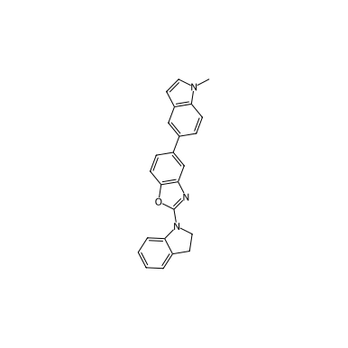 Cn1ccc2cc(-c3ccc4oc(N5CCc6ccccc65)nc4c3)ccc21